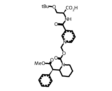 COC(=O)[C@H](c1ccccc1)C1CCCCN1C(=O)OC[n+]1cccc(C(=O)N[C@@H](COC(C)(C)C)C(=O)O)c1